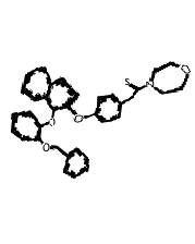 S=C(Cc1ccc(Oc2ccc3ccccc3c2Oc2ccccc2OCc2ccccc2)cc1)N1CCOCC1